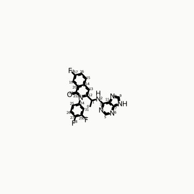 CC(Nc1ncnc2[nH]cnc12)c1cc2ccc(F)cc2c(=O)n1-c1ccc(F)c(F)c1